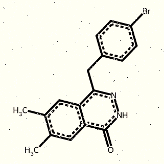 Cc1cc2c(Cc3ccc(Br)cc3)n[nH]c(=O)c2cc1C